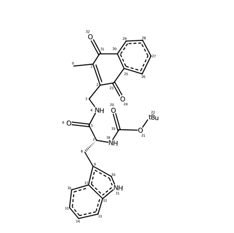 CC1=C(CNC(=O)[C@@H](Cc2c[nH]c3ccccc23)NC(=O)OC(C)(C)C)C(=O)c2ccccc2C1=O